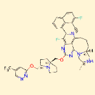 C#Cc1c(F)ccc2cccc(-c3nc4c5c(nc(OC[C@@]67CCCN6[C@H](COc6cc(C(F)(F)F)cnn6)CC7)nc5c3F)N3C[C@@H](C)NC[C@H]3CCC4)c12